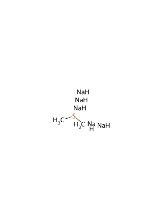 CSC.[NaH].[NaH].[NaH].[NaH].[NaH]